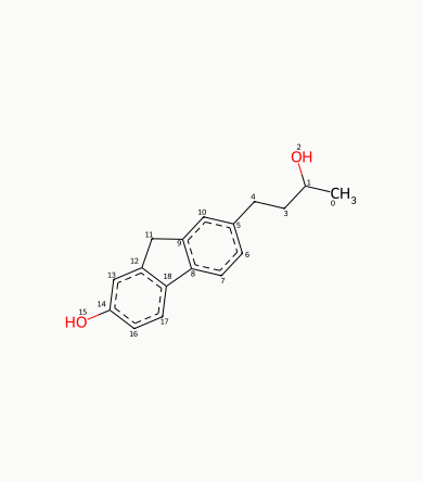 CC(O)CCc1ccc2c(c1)Cc1cc(O)ccc1-2